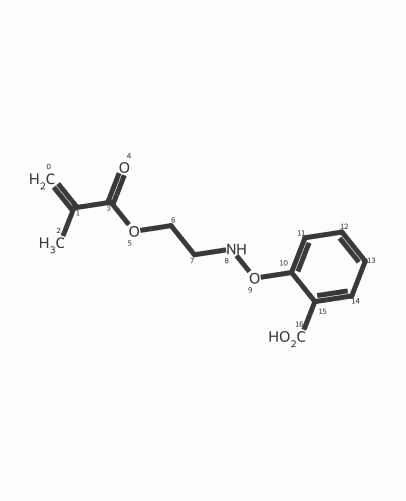 C=C(C)C(=O)OCCNOc1ccccc1C(=O)O